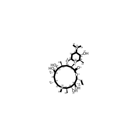 CC[C@H]1OC(=O)[C@H](C)[C@@H](O[C@H]2CC(N(C)C)[C@H](O)[C@@H](C)O2)[C@H](C)[C@@H](O)[C@](C)(O)C[C@@H](C)CN(C)[C@H](C)[C@@H](O)[C@]1(C)O